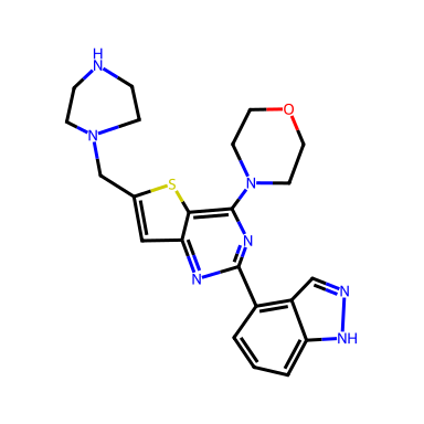 c1cc(-c2nc(N3CCOCC3)c3sc(CN4CCNCC4)cc3n2)c2cn[nH]c2c1